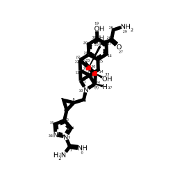 N=C(N)n1cc(C2CC2CN2C3C4C35Cc3ccc(O)cc3[C@]43C[C@H](NC(=O)CN)CC[C@@]3(O)[C@H]25)cn1